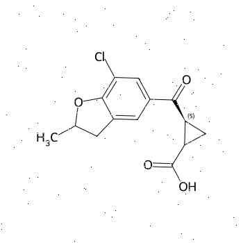 CC1Cc2cc(C(=O)[C@H]3CC3C(=O)O)cc(Cl)c2O1